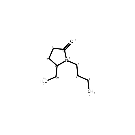 CCCCN1C(=O)CCC1CC